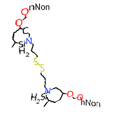 CCCCCCCCCOCOC1CCC(C)[SiH2]N(CCCSSCCCN2CCC(OCOCCCCCCCCC)CCC(C)[SiH2]2)CC1